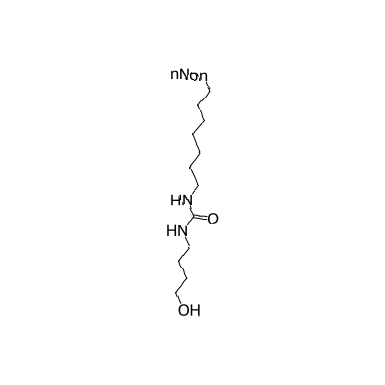 CCCCCCCCCCCCCCCCNC(=O)NCCCCO